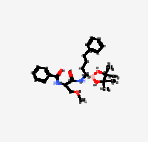 COCC(NC(=O)c1ccccc1)C(=O)N[C@@H](CCCc1ccccc1)B1OC(C)(C)C(C)(C)O1